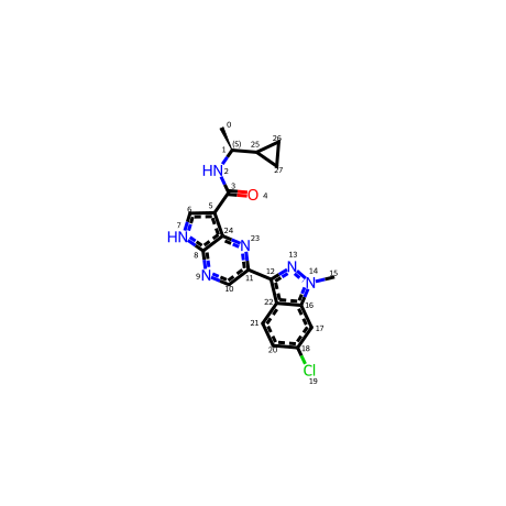 C[C@H](NC(=O)c1c[nH]c2ncc(-c3nn(C)c4cc(Cl)ccc34)nc12)C1CC1